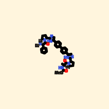 CCN(CC)[C@@H](C(=O)N1CCCC1c1ncc(-c2ccc(-c3ccc(-c4cnc(C5CCCN5C(=O)[C@](C)(NC(=O)OC)C(C)C)[nH]4)cc3)cc2)[nH]1)c1ccccc1